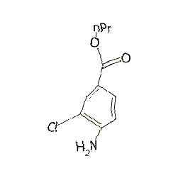 CCCOC(=O)c1ccc(N)c(Cl)c1